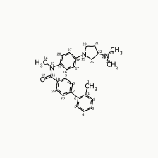 Cc1ccccc1-c1ccc(C(=O)N(C)c2ccc(N3CCC(N(C)C)C3)cc2)cc1